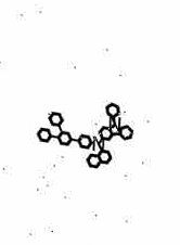 c1ccc(-c2ccc(-c3ccc(N(c4ccc5c(c4)c4ccccc4n5-c4ccccc4)c4cccc5ccccc45)cc3)cc2-c2ccccc2)cc1